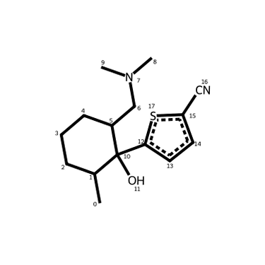 CC1CCCC(CN(C)C)C1(O)c1ccc(C#N)s1